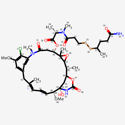 COc1cc2cc(c1Cl)N(C)C(=O)C[C@H](OC(=O)[C@H](C)N(C)C(=O)CCSSC(C)CCC(N)=O)C1(C)OC1[C@H](C)C1C[C@@](O)(NC(=O)O1)[C@H](OC)/C=C/C=C(\C)C2